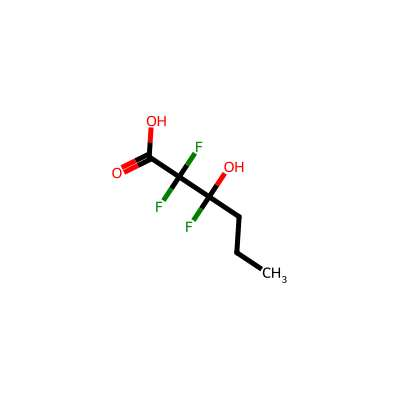 CCCC(O)(F)C(F)(F)C(=O)O